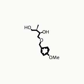 COc1ccc(COC[C@H](O)[C@H](C)CO)cc1